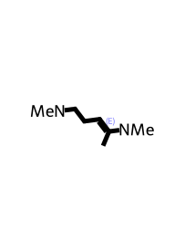 CNCC/C=C(\C)NC